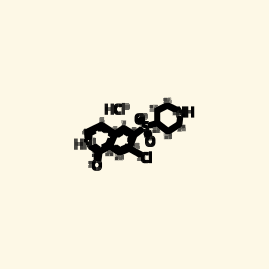 Cl.O=c1[nH]ccc2cc(S(=O)(=O)C3CCNCC3)c(Cl)cc12